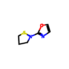 c1coc(N2CCCS2)n1